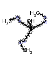 CCCCC/C=C\C/C=C\CCCCCCCC[N+](CCCCO)(CCCCCCCC/C=C\C/C=C\CCCCC)CCCCCCCC/C=C\C/C=C\CCCCC